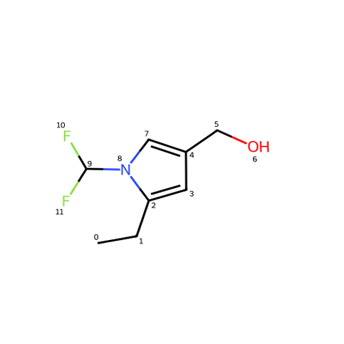 CCc1cc(CO)cn1C(F)F